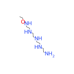 CCONCCNCCNCCNCCN